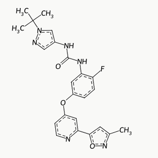 Cc1cc(-c2cc(Oc3ccc(F)c(NC(=O)Nc4cnn(C(C)(C)C)c4)c3)ccn2)on1